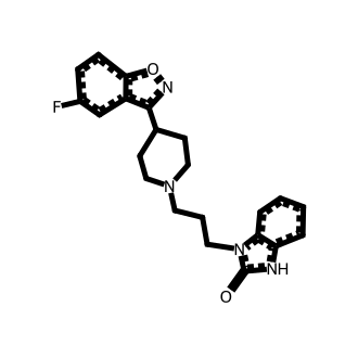 O=c1[nH]c2ccccc2n1CCCN1CCC(c2noc3ccc(F)cc23)CC1